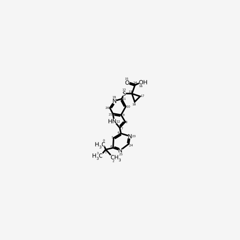 CC(C)(C)c1cc(-c2cc3cc(SC4(C(=O)O)CC4)ncc3[nH]2)ncn1